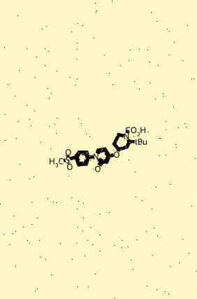 CC(C)(C)C1CC(Oc2ccn(-c3ccc(S(C)(=O)=O)cc3)c(=O)c2)CCN1C(=O)O